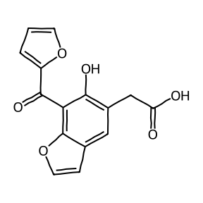 O=C(O)Cc1cc2ccoc2c(C(=O)c2ccco2)c1O